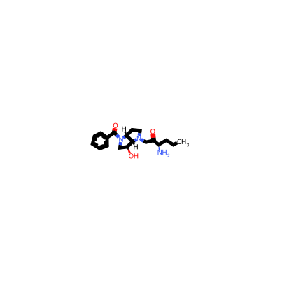 CCC[C@H](N)C(=O)CN1CC[C@@H]2[C@H]1[C@@H](O)CN2C(=O)c1ccccc1